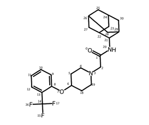 O=C(CN1CCC(Oc2ccccc2C(F)(F)F)CC1)NC1C2CC3CC(C2)CC1C3